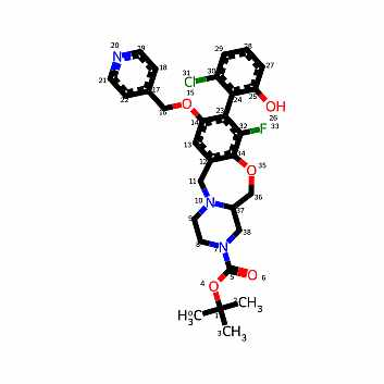 CC(C)(C)OC(=O)N1CCN2Cc3cc(OCc4ccncc4)c(-c4c(O)cccc4Cl)c(F)c3OCC2C1